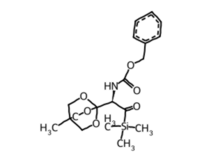 CC12COC([C@@H](NC(=O)OCc3ccccc3)C(=O)[Si](C)(C)C)(OC1)OC2